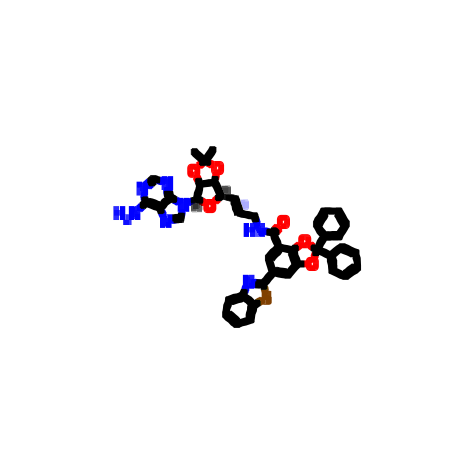 CC1(C)OC2C(O1)[C@@H](/C=C/CNC(=O)c1cc(-c3nc4ccccc4s3)cc3c1OC(c1ccccc1)(c1ccccc1)O3)O[C@H]2n1cnc2c(N)ncnc21